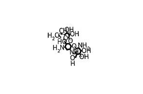 C=S=C(C)[C@H]1O[C@@H](OC2C(O)[C@H](N)CC(N)[C@H]2O[C@H]2OC(CO)[C@@H](O)C(O)C2N)C(O)C1O